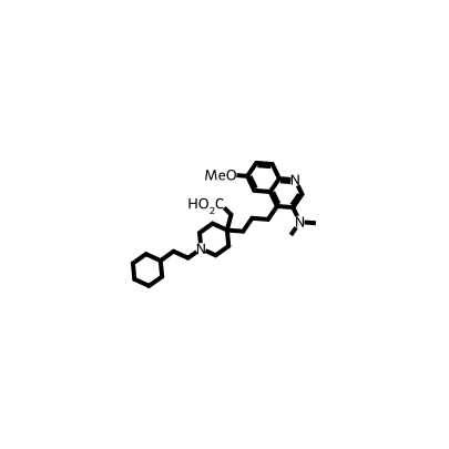 COc1ccc2ncc(N(C)C)c(CCCC3(CC(=O)O)CCN(CCC4CCCCC4)CC3)c2c1